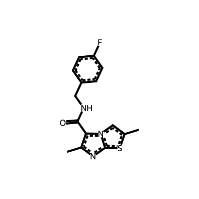 Cc1cn2c(C(=O)NCc3ccc(F)cc3)c(C)nc2s1